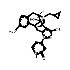 COc1ccc2c(c1)[C@]13CCN(CC4CC4)[C@H](C2)[C@]1(O)Cc1c(C)nn(-c2cc[nH]c(=O)c2)c1C3